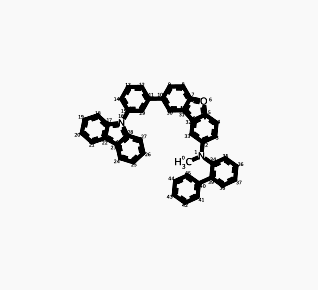 CN(c1ccc2oc3ccc(-c4cccc(-n5c6ccccc6c6ccccc65)c4)cc3c2c1)c1ccccc1-c1ccccc1